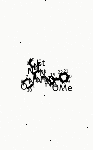 C=Cc1nc2c(N3CCOCC3)nc(-n3cc(-c4ccccc4)c(OC)n3)nc2n1CC